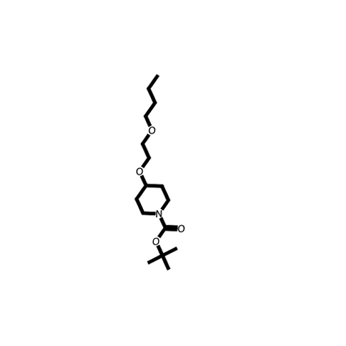 CCCCOCCOC1CCN(C(=O)OC(C)(C)C)CC1